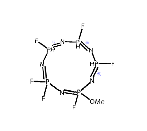 COP1(F)=NP(F)(F)=N\[PH](F)=N/[PH](F)=N\[PH](F)=N/1